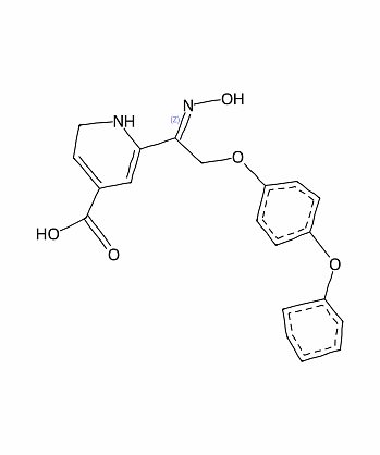 O=C(O)C1=CCNC(/C(COc2ccc(Oc3ccccc3)cc2)=N/O)=C1